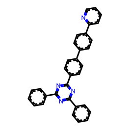 c1ccc(-c2nc(-c3ccccc3)nc(-c3ccc(-c4ccc(-c5ccccn5)cc4)cc3)n2)cc1